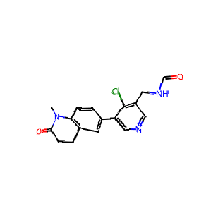 CN1C(=O)CCc2cc(-c3cncc(CNC=O)c3Cl)ccc21